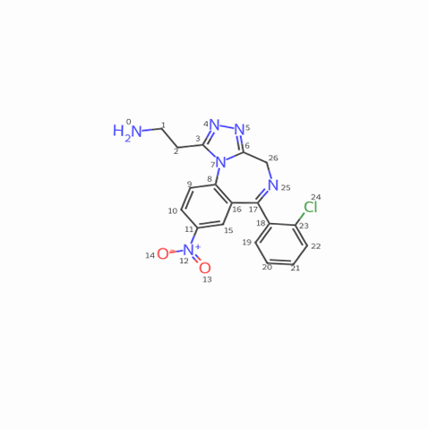 NCCc1nnc2n1-c1ccc([N+](=O)[O-])cc1C(c1ccccc1Cl)=NC2